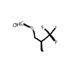 CC(CO[C]=O)C(F)(F)F